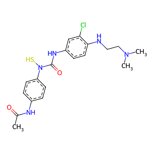 CC(=O)Nc1ccc(N(S)C(=O)Nc2ccc(NCCN(C)C)c(Cl)c2)cc1